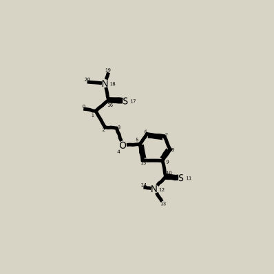 CC(CCOc1cccc(C(=S)N(C)C)c1)C(=S)N(C)C